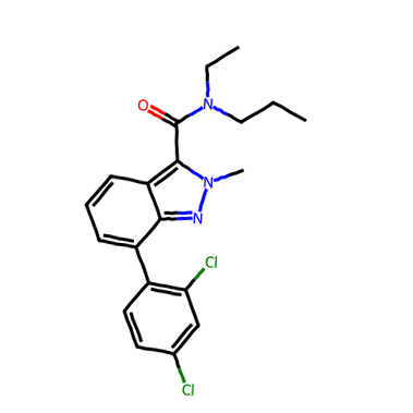 CCCN(CC)C(=O)c1c2cccc(-c3ccc(Cl)cc3Cl)c2nn1C